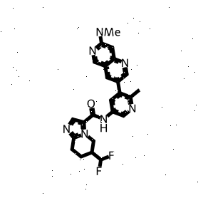 CNc1cc2ncc(-c3cc(NC(=O)c4cnc5n4CC(C(F)F)CC5)cnc3C)cc2cn1